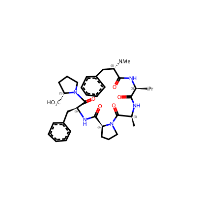 CN[C@@H](Cc1ccccc1)C(=O)N[C@H](C(=O)N[C@@H](C)C(=O)N1CCC[C@H]1C(=O)N[C@@H](Cc1ccccc1)C(=O)N1CCC[C@H]1C(=O)O)C(C)C